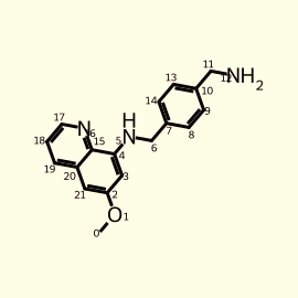 COc1cc(NCc2ccc(CN)cc2)c2ncccc2c1